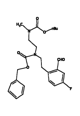 CCCCOC(=O)N(C)CCN(CCc1ccc(F)cc1C=O)C(=O)OCc1ccccc1